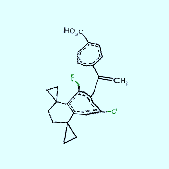 C=C(c1ccc(C(=O)O)cc1)c1c(Cl)cc2c(c1F)C1(CCC23CC3)CC1